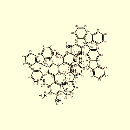 Bc1c(B)c(B)c(-c2cc(S(c3ccccc3)(c3ccccc3)c3ccccc3)cc(-c3c(B)c(B)c(B)c(B)c3B)c2-n2c3ccccc3c3cc(-n4c5ccccc5c5ccc(S(c6ccccc6)(c6ccccc6)c6ccccc6)cc54)ccc32)c(B)c1B